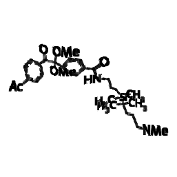 CNCCCC(C)(C)[Si](C)(C)CCCNC(=O)c1ccc(C(OC)(OC)C(=O)c2ccc(C(C)=O)cc2)cc1